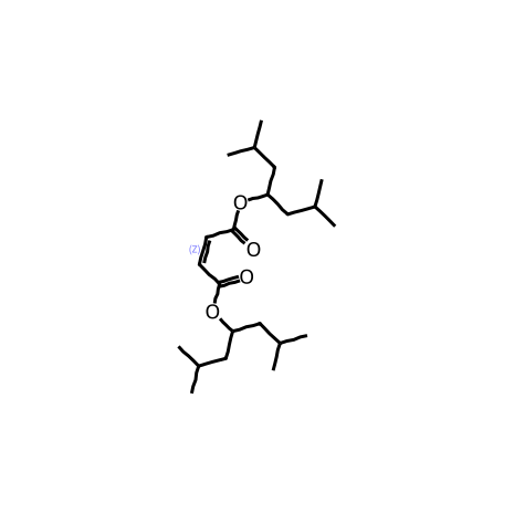 CC(C)CC(CC(C)C)OC(=O)/C=C\C(=O)OC(CC(C)C)CC(C)C